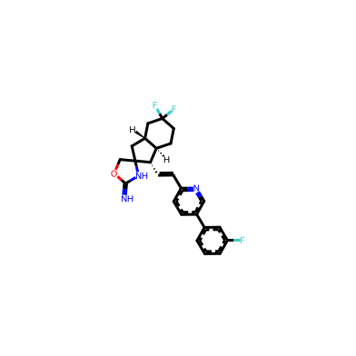 N=C1NC2(CO1)C[C@@H]1CC(F)(F)CC[C@H]1[C@@H]2/C=C/c1ccc(-c2cccc(F)c2)cn1